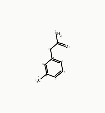 NC(=O)[CH]c1cccc(C(F)(F)F)c1